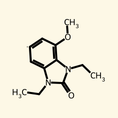 CCn1c(=O)n(CC)c2c(OC)c[c]cc21